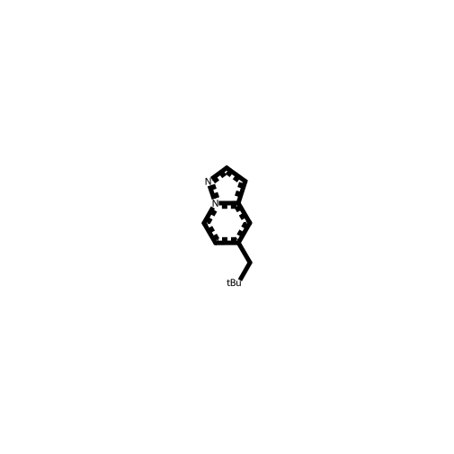 CC(C)(C)Cc1ccn2nccc2c1